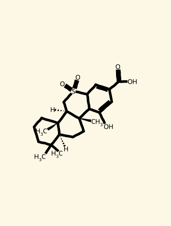 CC1(C)CCC[C@]2(C)[C@H]3CS(=O)(=O)C4C=C(C(=O)O)C=C(O)C4[C@]3(C)CC[C@@H]12